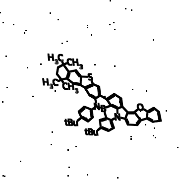 CC(C)(C)c1ccc(N2B3c4cc(C(C)(C)C)ccc4-n4c5ccc6c7ccccc7oc6c5c5ccc(c3c54)-c3cc4sc5cc6c(cc5c4cc32)C(C)(C)CCC6(C)C)cc1